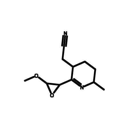 COC1OC1C1=NC(C)CCC1CC#N